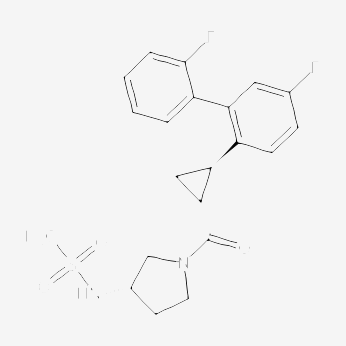 CS(=O)(=O)N[C@H]1CCN(C(=O)[C@@H]2C[C@H]2c2ccc(F)cc2-c2ccccc2F)C1